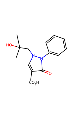 CC(C)(O)Cn1cc(C(=O)O)c(=O)n1-c1ccccc1